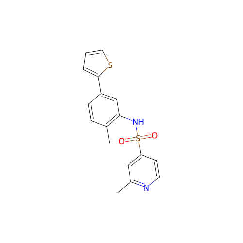 Cc1cc(S(=O)(=O)Nc2cc(-c3cccs3)ccc2C)ccn1